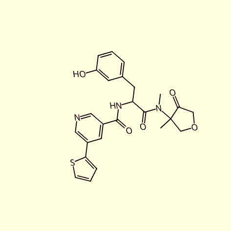 CN(C(=O)C(Cc1cccc(O)c1)NC(=O)c1cncc(-c2cccs2)c1)C1(C)COCC1=O